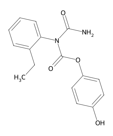 CCc1ccccc1N(C(N)=O)C(=O)Oc1ccc(O)cc1